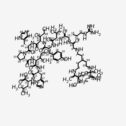 C=C(NCCC(CCNCC(=O)N[C@@H](CCCNC(=N)N)C(=O)N[C@H](C(=O)N[C@@H](Cc1ccc(O)cc1)C(=O)N[C@H](C(=O)N[C@@H](Cc1cnc[nH]1)C(=O)N1CCC[C@H]1C(=O)N[C@H](C(=O)N[C@@H](Cc1cnc[nH]1)C(=O)N[C@@H](CC(C)C)C(=O)O)C(C)CC)C(C)CC)C(C)C)CCNC(C)(C)/C(C)=N\O)/C(C)=N\O